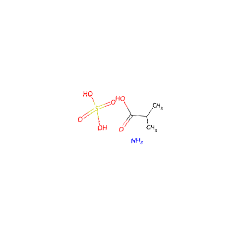 CC(C)C(=O)O.N.O=S(=O)(O)O